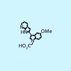 COc1ccc2c(c1)c(-c1cc3cccnc3[nH]1)cn2CC(=O)O